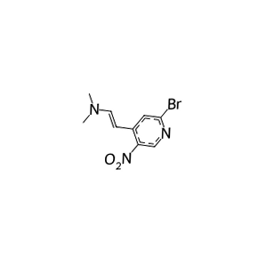 CN(C)C=Cc1cc(Br)ncc1[N+](=O)[O-]